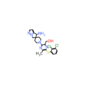 Cc1nc(N2CCC3(CC2)Cn2nccc2C3N)c(CO)nc1Sc1cccc(Cl)c1Cl